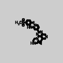 CS(=O)(=O)c1ccc(F)c(Nc2cc(-c3nc(N4CCNCC4)c4c(C5CC5)cncc4n3)ccn2)c1